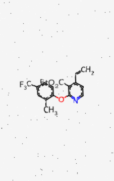 C=Cc1ccnc(Oc2ccc(C(F)(F)F)cc2C)c1C(=O)OCC